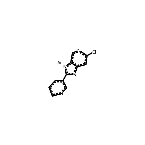 Clc1cc2sc(-c3cccnc3)nc2cn1.[Ar]